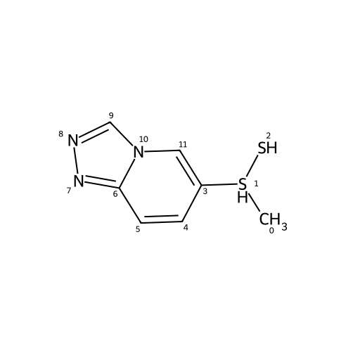 C[SH](S)c1ccc2nncn2c1